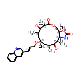 C[C@@H]1C[C@@](C)(OC/C=C/c2cnc3ccccc3c2)C[C@@H](C)C(=O)[C@](C)(F)C(=O)O[C@H](I)[C@@]2(C)OC(=O)N[C@@H]2[C@@H](C)C1=O